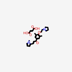 Cc1cc(C(=O)/C=C/c2cccn2C)cc(C)c1OCCN1CCCC1.O=C(O)/C=C/C(=O)O